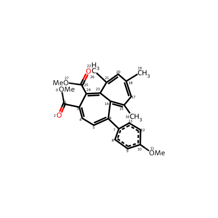 COC(=O)C1=CC=C(c2ccc(OC)cc2)C2=C(C)C=C(C)C=C(C)C2=C1C(=O)OC